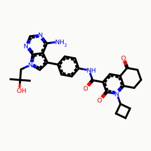 CC(C)(O)Cn1cc(-c2ccc(NC(=O)c3cc4c(n(C5CCC5)c3=O)CCCC4=O)cc2)c2c(N)ncnc21